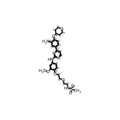 COc1cc(Nc2nccc(-c3ccc(OC4CCOCC4)c(N)c3)n2)ccc1OCCOCCNS(C)(=O)=O